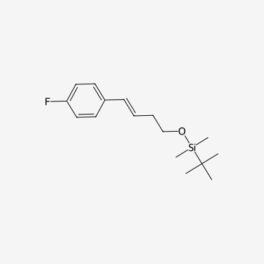 CC(C)(C)[Si](C)(C)OCCC=Cc1ccc(F)cc1